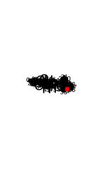 Cc1ccc(S(=O)(=O)N2C[C@H]3C[C@H]4C[C@@H](CO[Si](c5ccccc5)(c5ccccc5)C(C)(C)C)CC[C@@H]4N3C2=O)cc1